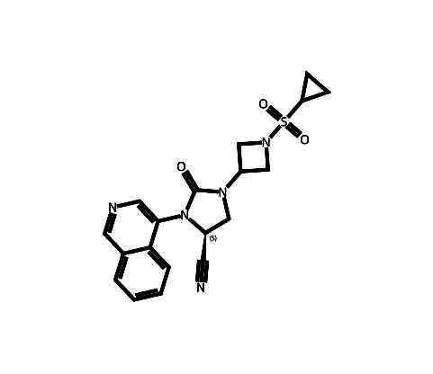 N#C[C@@H]1CN(C2CN(S(=O)(=O)C3CC3)C2)C(=O)N1c1cncc2ccccc12